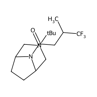 CC(CC(=O)N1C2CCC1CN(C(C)(C)C)C2)C(F)(F)F